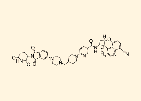 CC12c3ccnc4c(C#N)ccc(c34)O[C@@H]1CC2NC(=O)c1ccc(N2CCC(CN3CCN(c4ccc5c(c4)C(=O)N(C4CCC(=O)NC4=O)C5=O)CC3)CC2)nc1